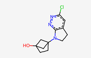 OC12CCC(N3CCc4cc(Cl)nnc43)(C1)C2